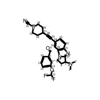 CN(C)C1C[C@H](c2c(C=O)cccc2OC(F)F)n2c1nc1ccc(C#CC3CCB(C#N)CC3)cc12